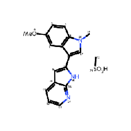 COc1ccc2c(c1)c(-c1cc3cccnc3[nH]1)cn2C.CS(=O)(=O)O